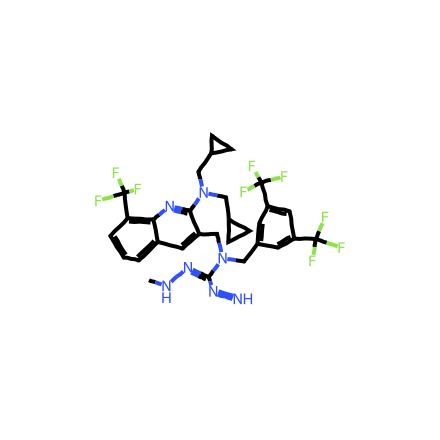 CN/N=C(\N=N)N(Cc1cc(C(F)(F)F)cc(C(F)(F)F)c1)Cc1cc2cccc(C(F)(F)F)c2nc1N(CC1CC1)CC1CC1